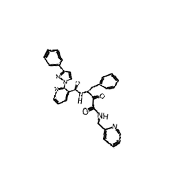 O=C(NCc1ccccn1)C(=O)[C@H](Cc1ccccc1)NC(=O)c1cccnc1-n1ccc(-c2ccccc2)n1